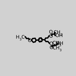 C=C(CO)C(=O)OCCCC(CCCOC(=O)C(C)(C)CO)c1ccc(C2CCC(OCCCC)CC2)cc1